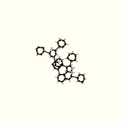 c1ccc(-c2cc(-c3ccc(-c4cccc5cc(-c6ccccc6)n6nc(-c7ccccc7)c(-c7ccccc7)c6c45)cc3)cc(-c3ccccc3)n2)cc1